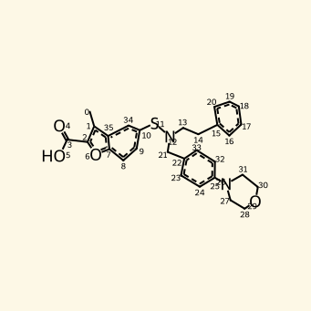 Cc1c(C(=O)O)oc2ccc(SN(CCc3ccccc3)Cc3ccc(N4CCOCC4)cc3)cc12